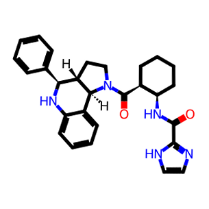 O=C(N[C@@H]1CCCC[C@@H]1C(=O)N1CC[C@H]2[C@H](c3ccccc3)Nc3ccccc3[C@@H]21)c1ncc[nH]1